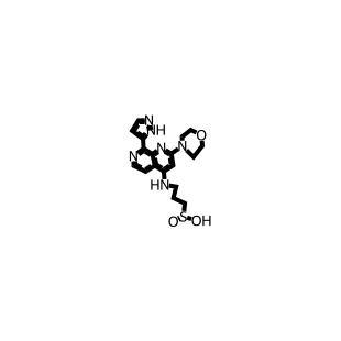 O=S(O)CCCNc1cc(N2CCOCC2)nc2c(-c3ccn[nH]3)nccc12